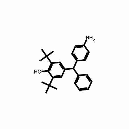 CC(C)(C)c1cc(C(c2ccccc2)c2ccc(N)cc2)cc(C(C)(C)C)c1O